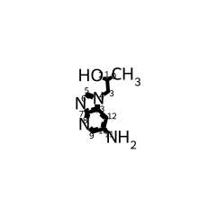 CC(O)Cn1cnc2ncc(N)cc21